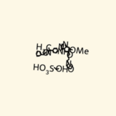 COc1cc2ncnc(Nc3ccc(C(C)=NOCc4ccccc4)cc3)c2cc1OCCCN1CCOCC1.O=S(=O)(O)CCO